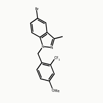 COc1ccc(Cn2nc(C)c3cc(Br)ccc32)c(C(F)(F)F)c1